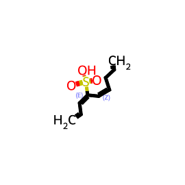 C=C/C=C(\C=C/CC=C)S(=O)(=O)O